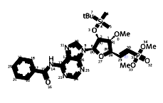 CO[C@H]1[C@@H](O[Si](C)(C)C(C)(C)C)[C@H](n2cnc3c(NC(=O)c4ccccc4)ncnc32)O[C@@H]1/C=C/P(=O)(OC)OC